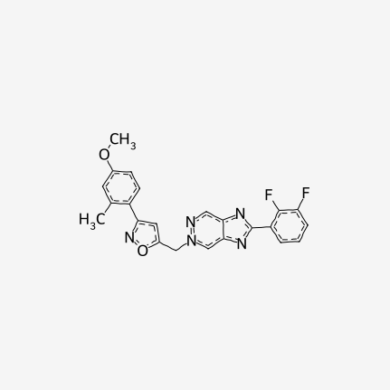 COc1ccc(-c2cc(Cn3cc4nc(-c5cccc(F)c5F)nc-4cn3)on2)c(C)c1